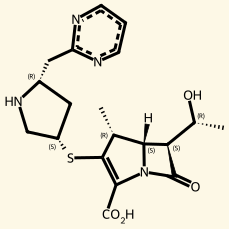 C[C@@H](O)[C@H]1C(=O)N2C(C(=O)O)=C(S[C@@H]3CN[C@H](Cc4ncccn4)C3)[C@H](C)[C@H]12